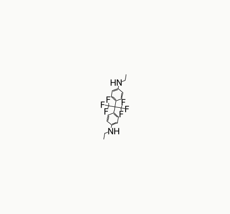 CCNc1ccc(C(c2ccc(NCC)cc2)(C(F)(F)F)C(F)(F)F)cc1